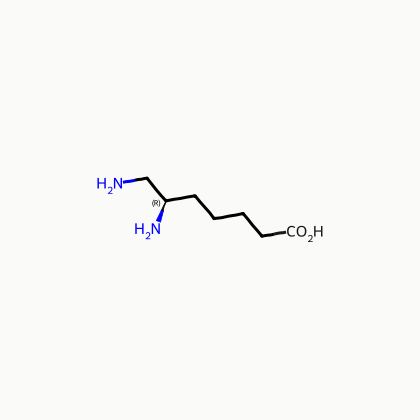 NC[C@H](N)CCCCC(=O)O